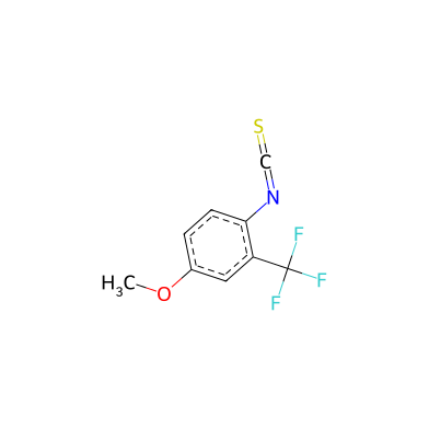 COc1ccc(N=C=S)c(C(F)(F)F)c1